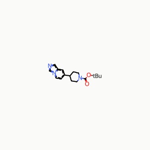 CC(C)(C)OC(=O)N1CCC(c2ccn3cncc3c2)CC1